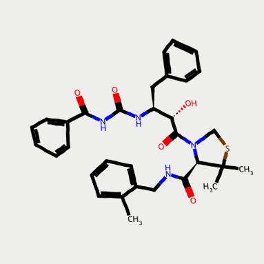 Cc1ccccc1CNC(=O)[C@H]1N(C(=O)[C@@H](O)[C@H](Cc2ccccc2)NC(=O)NC(=O)c2ccccc2)CSC1(C)C